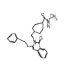 CNC(=O)C1CCC(Cn2c(CCc3ccccc3)cc3ccccc3c2=O)CC1